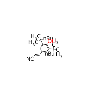 CCCCC(C)(C)c1cc(C=CC#N)cc(C(C)(C)CCCC)c1O